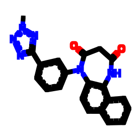 Cn1nnc(-c2cccc(N3C(=O)CC(=O)Nc4c3ccc3ccccc43)c2)n1